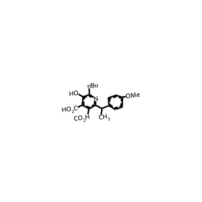 CCCCc1nc(C(C)c2ccc(OC)cc2)c(C(=O)O)c(C(=O)O)c1O